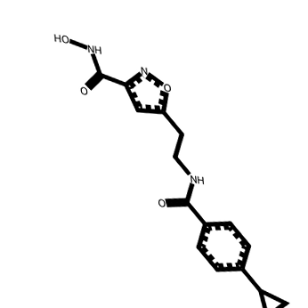 O=C(NCCc1cc(C(=O)NO)no1)c1ccc(C2CC2)cc1